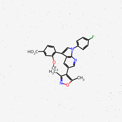 Cc1noc(C)c1-c1cnc2c(c1)c(-c1ccc(C(=O)O)cc1OC(F)(F)F)cn2-c1ccc(F)cc1